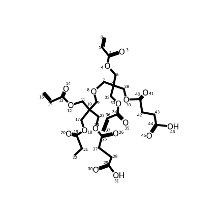 C=CC(=O)OCC(COCC(COC(=O)C=C)(COC(=O)CC)COC(=O)CCC(=O)O)(COC(=O)C=C)COC(=O)CCC(=O)O